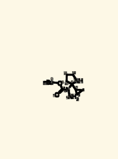 CCCCOC(=O)N(N)C1(C2CC2)CCCN1